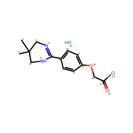 CC1(C)CN=C(c2ccc(OCC(=O)Cl)cc2)NC1.Cl